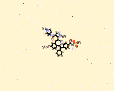 CCN1CC2C[C@H]1CN2C(=O)c1cnn(C(C)C)c1C1=Cc2cc(OC)ccc2-c2c(C3CCCCC3)c3ccc(C(=O)NS(=O)(=O)C(C)C)cc3n2C1